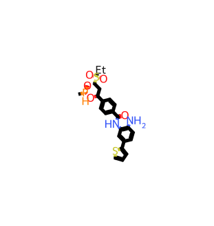 CCS(=O)(=O)CCC(O[PH](C)=O)c1ccc(C(=O)Nc2cc(-c3cccs3)ccc2N)cc1